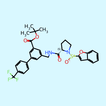 CC(C)(C)OC(=O)c1cc(CNC(=O)[C@@H]2CCCN2[S+]([O-])c2cc3ccccc3o2)cc(-c2ccc(C(F)(F)F)cc2)c1